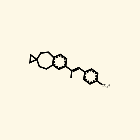 CC(=Cc1ccc(C(=O)O)cc1)c1ccc2c(c1)CCC1(CC2)CC1